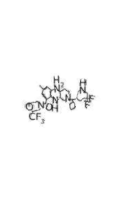 Cc1cc(N)c(N[C@@H]2CCCN(C(=O)[C@H]3CNCC(F)(F)C3)C2)c(C(=O)N2CCO[C@H](C(F)(F)F)C2)c1